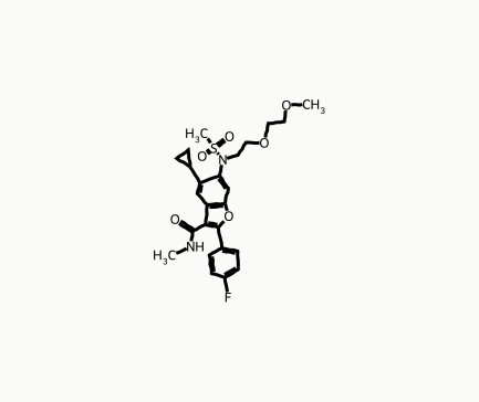 CNC(=O)c1c(-c2ccc(F)cc2)oc2cc(N(CCOCCOC)S(C)(=O)=O)c(C3CC3)cc12